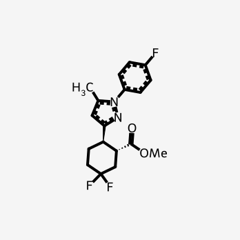 COC(=O)[C@@H]1CC(F)(F)CC[C@H]1c1cc(C)n(-c2ccc(F)cc2)n1